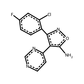 Nc1onc(-c2ccc(F)cc2Cl)c1-c1ccncn1